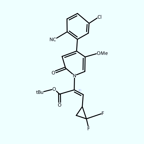 COc1cn(/C(=C/C2CC2(F)F)C(=O)OC(C)(C)C)c(=O)cc1-c1cc(Cl)ccc1C#N